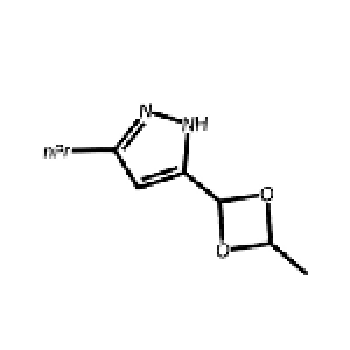 CCCc1cc(C2OC(C)O2)[nH]n1